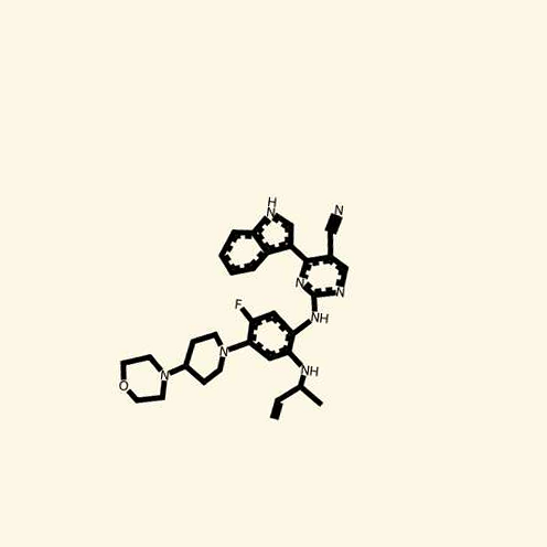 C=CC(C)Nc1cc(N2CCC(N3CCOCC3)CC2)c(F)cc1Nc1ncc(C#N)c(-c2c[nH]c3ccccc23)n1